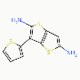 Nc1cc2sc(N)c(-c3cccs3)c2s1